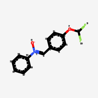 [O-][N+](=Cc1ccc(OC(F)F)cc1)c1ccccc1